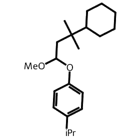 COC(CC(C)(C)C1CCCCC1)Oc1ccc(C(C)C)cc1